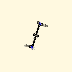 CCn1c2ccc(-c3ccc(-c4ccc(-c5c6ccccc6c(-c6ccc(-c7ccc(-c8ccc9c(c8)c8cc(C(C)(C)C)ccc8n9CC)cc7)cc6)c6ccccc56)cc4)cc3)cc2c2cc(C(C)(C)C)ccc21